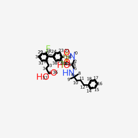 CN(C[C@H](O)CNC(C)(C)CCCc1ccccc1)S(=O)(=O)c1ccc(-c2c(F)cccc2CCC(=O)O)cc1F